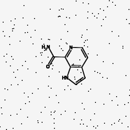 NC(=O)c1nccc2cc[nH]c12